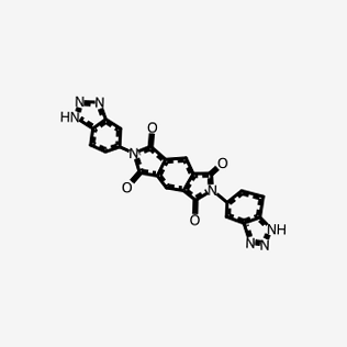 O=c1c2cc3c(=O)n(-c4ccc5[nH]nnc5c4)c(=O)c3cc2c(=O)n1-c1ccc2[nH]nnc2c1